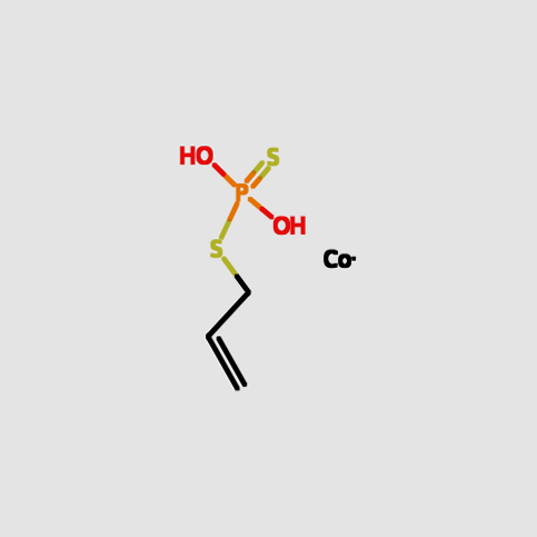 C=CCSP(O)(O)=S.[Co]